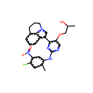 Cc1cc(F)c([N+](=O)[O-])cc1Nc1ncc(OCC(C)O)c(-c2cn3c4c(cccc24)CCC3)n1